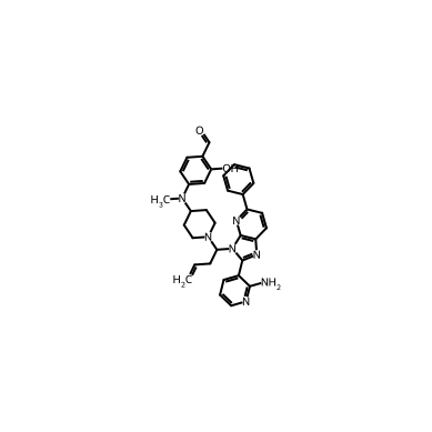 C=CCC(N1CCC(N(C)c2ccc(C=O)c(O)c2)CC1)n1c(-c2cccnc2N)nc2ccc(-c3ccccc3)nc21